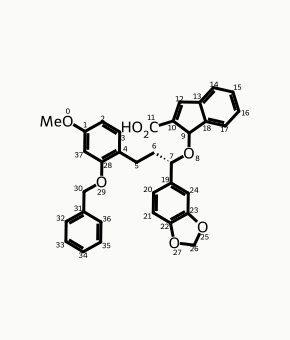 COc1ccc(CC[C@H](OC2C(C(=O)O)=Cc3ccccc32)c2ccc3c(c2)OCO3)c(OCc2ccccc2)c1